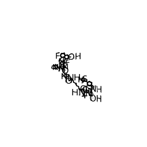 C#Cc1c(F)ccc2cc(O)cc(-c3ncc4c(N5CC6CCC(C5)N6)nc(OCC5C[C@@H](NC(=O)CCCCCCC(=O)N[C@@H](C(=O)N6C[C@H](O)C[C@H]6C(=O)N[C@@H](C)c6ccc(-c7scnc7C)cc6)C(C)(C)C)CN5C)nc4c3F)c12